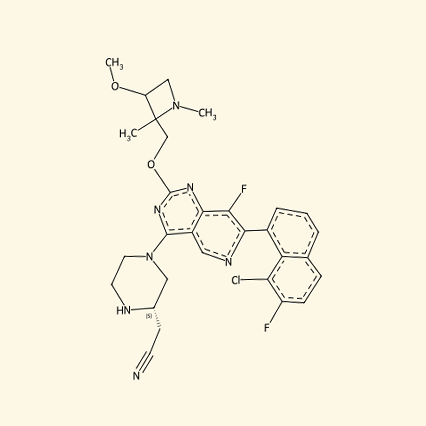 COC1CN(C)C1(C)COc1nc(N2CCN[C@@H](CC#N)C2)c2cnc(-c3cccc4ccc(F)c(Cl)c34)c(F)c2n1